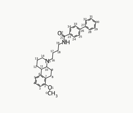 COc1cccc2c1CCC1C2CCCN1CCCCNC(=O)c1ccc(-c2ccccc2)cc1